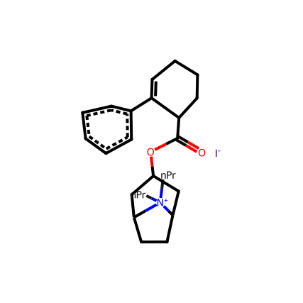 CCC[N+]1(CCC)C2CCC1CC(OC(=O)C1CCCC=C1c1ccccc1)C2.[I-]